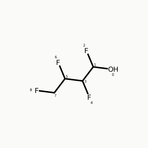 OC(F)C(F)C(F)CF